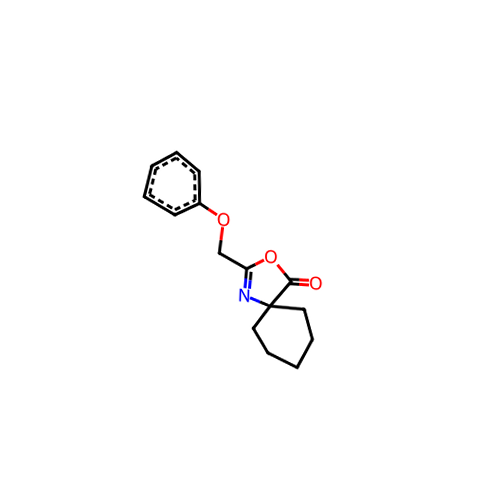 O=C1OC(COc2ccccc2)=NC12CCCCC2